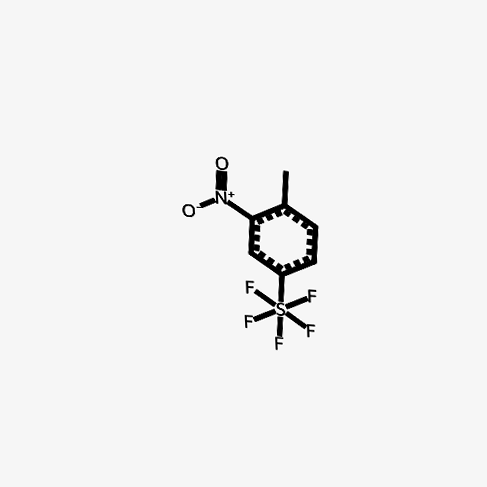 Cc1ccc(S(F)(F)(F)(F)F)cc1[N+](=O)[O-]